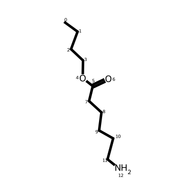 CCCCOC(=O)CCCCCN